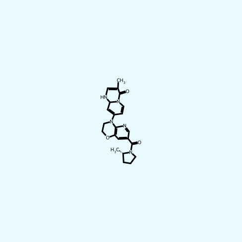 CC1=CNC2C=C(N3CCOc4cc(C(=O)N5CCC[C@@H]5C)cnc43)C=CN2C1=O